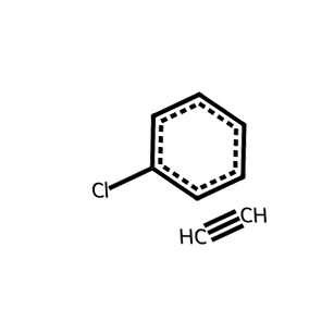 C#C.Clc1ccccc1